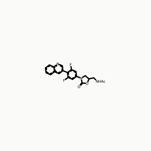 CC(=O)NCC1CN(c2cc(F)c(-c3cnc4ccccc4c3)c(F)c2)C(=O)O1